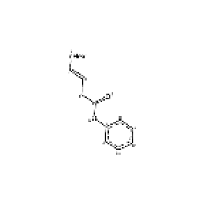 CCCCCC/C=C/CC(=O)Oc1ccccc1